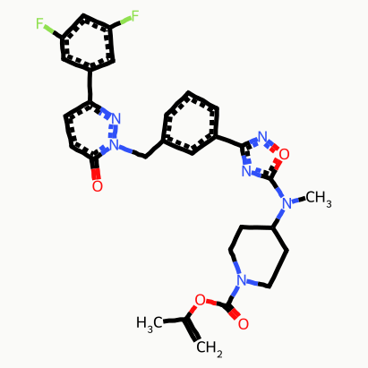 C=C(C)OC(=O)N1CCC(N(C)c2nc(-c3cccc(Cn4nc(-c5cc(F)cc(F)c5)ccc4=O)c3)no2)CC1